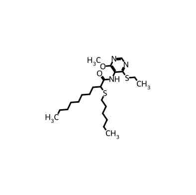 CCCCCCCCC(SCCCCCC)C(=O)Nc1c(OC)ncnc1SCC